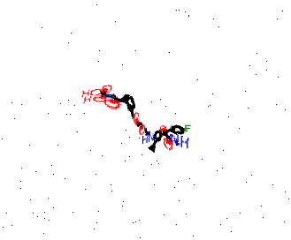 CNC(=O)c1c(-c2ccc(F)cc2)oc2cc(NCCCOCCOCc3cccc(C(=O)/C=C(\O)C(=O)O)c3)c(C3CC3)cc12